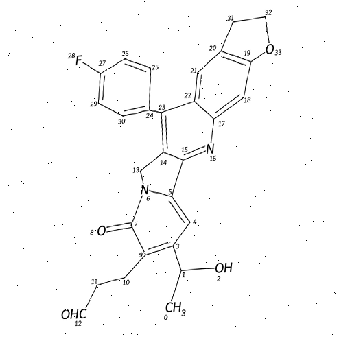 CC(O)c1cc2n(c(=O)c1CCC=O)Cc1c-2nc2cc3c(cc2c1-c1ccc(F)cc1)CCO3